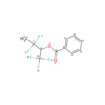 CC(F)(F)C(OC(=O)c1ccccc1)C(F)(F)F